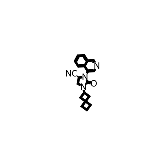 N#C[C@@H]1CN(C2CC3(CCC3)C2)C(=O)N1c1cncc2ccccc12